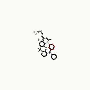 C/C(=C/C(N)=C\C=N/N)P(c1ccccc1)c1cccc2c1Oc1c(P(c3ccccc3)c3ccccc3)cccc1C2(C)C